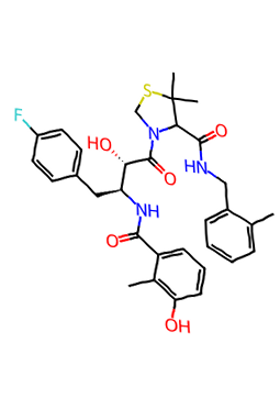 Cc1ccccc1CNC(=O)C1N(C(=O)[C@@H](O)[C@H](Cc2ccc(F)cc2)NC(=O)c2cccc(O)c2C)CSC1(C)C